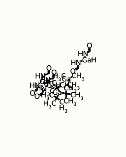 C[C](C)(C)[Ga]([C](C)(C)C)[C](C)(C)C.O=C[NH][GaH][NH]C=O.O=C[NH][GaH][NH]C=O.O=C[NH][GaH][NH]C=O.[CH3][Ga]([CH3])[CH3]